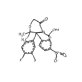 CC1(C)OCC(=O)N(C(=O)O)C1(c1ccc([N+](=O)[O-])cc1)c1ccc(F)c(F)c1